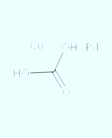 O=C(O)O.[Cu].[Pd]